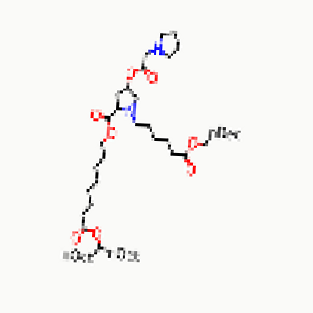 CCCCCCCCCCCOC(=O)CCCCCN1CC(OC(=O)CN2CCCC2)CC1C(=O)OCCCCCCCC(=O)OC(CCCCCCCC)CCCCCCCC